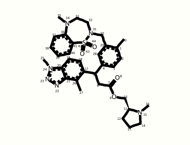 Cc1ccc(C(CC(=O)OC[C@@H]2CCCN2C)c2ccc3c(nnn3C)c2C)cc1CN1CCN(C)c2ccccc2S1(=O)=O